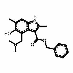 Cc1cc2[nH]c(C)c(C(=O)OCc3ccccc3)c2c(CN(C)C)c1O